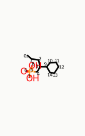 [CH2]CCC(CP(=O)(O)O)C1CCCCC1